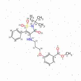 COC(=O)c1cccc(OCCCNC2=C(c3ccccc3)S(=O)(=O)N(C(C)(C)C)C2=O)c1